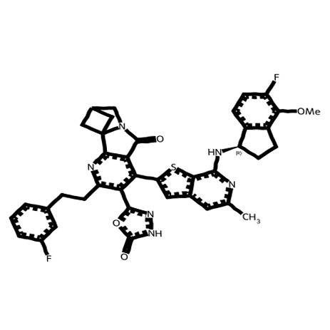 COc1c(F)ccc2c1CC[C@H]2Nc1nc(C)cc2cc(-c3c4c(nc(CCc5cccc(F)c5)c3-c3n[nH]c(=O)o3)C35CC(CN3C4=O)C5)sc12